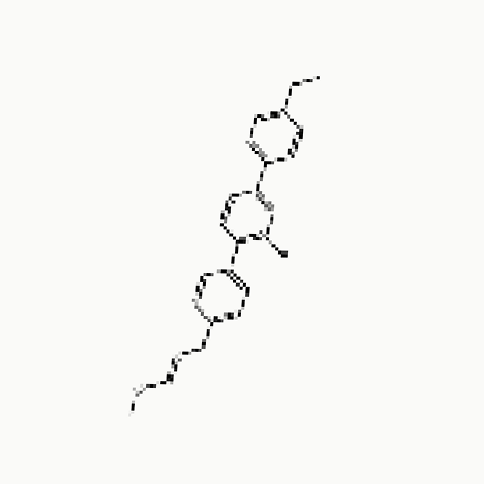 CCc1ccc(-c2ccc(-c3ccc(C/C=C/OC)cc3)c(F)c2)cc1